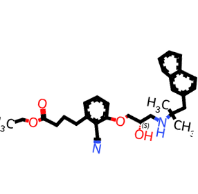 CCOC(=O)CCCc1cccc(OC[C@@H](O)CNC(C)(C)Cc2ccc3ccccc3c2)c1C#N